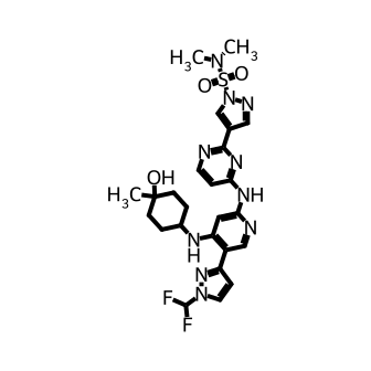 CN(C)S(=O)(=O)n1cc(-c2nccc(Nc3cc(NC4CCC(C)(O)CC4)c(-c4ccn(C(F)F)n4)cn3)n2)cn1